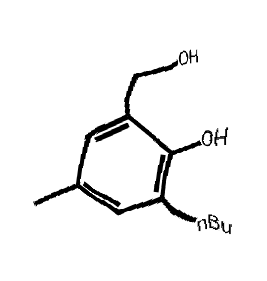 CCCCc1cc(C)cc(CO)c1O